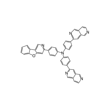 c1ccc2c(c1)oc1cc(-c3ccc(N(c4ccc(-c5cc6cnccc6cn5)cc4)c4ccc(-c5cc6cnccc6cn5)cc4)cc3)ncc12